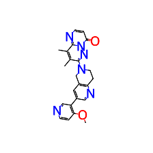 COc1ccncc1-c1cnc2c(c1)CN(c1nn3c(=O)ccnc3c(C)c1C)CC2